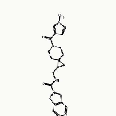 Cn1cc(C(=O)N2CCC3(CC2)CC3CNC(=O)N2Cc3ccncc3C2)cn1